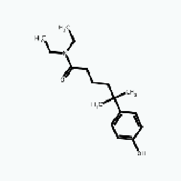 CCN(CC)C(=O)CCCC(C)(C)c1ccc(O)cc1